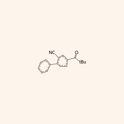 CC(C)(C)C(=O)c1ccc(-c2ccccc2)c(C#N)c1